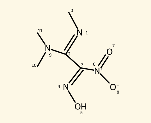 CN=C(C(=NO)[N+](=O)[O-])N(C)C